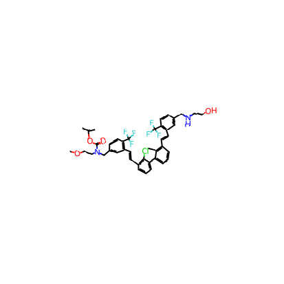 COCCN(Cc1ccc(C(F)(F)F)c(/C=C/c2cccc(-c3cccc(/C=C/c4cc(CNCCO)ccc4C(F)(F)F)c3C)c2Cl)c1)C(=O)OC(C)C